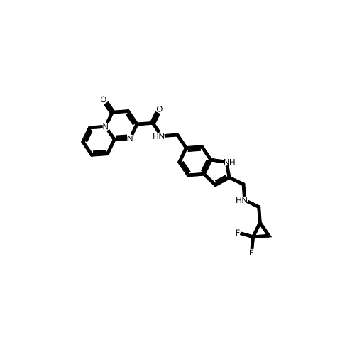 O=C(NCc1ccc2cc(CNCC3CC3(F)F)[nH]c2c1)c1cc(=O)n2ccccc2n1